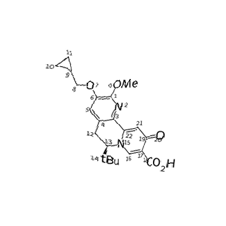 COc1nc2c(cc1OCC1CC1)C[C@H](C(C)(C)C)n1cc(C(=O)O)c(=O)cc1-2